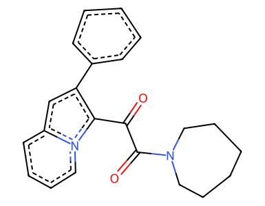 O=C(C(=O)N1CCCCCC1)c1c(-c2ccccc2)cc2ccccn12